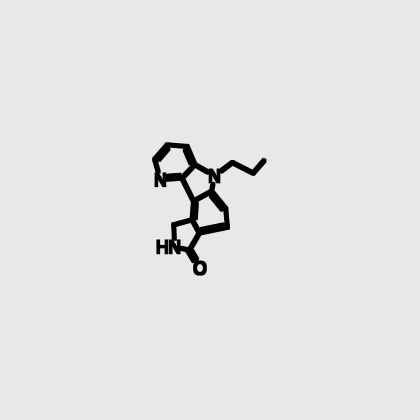 CCCn1c2cccnc2c2c3c(ccc21)C(=O)NC3